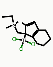 CC[Si](C)(C)C[C]1([Ti]([Cl])([Cl])[Cl])C(C)=CC2=C1CCCC2